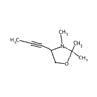 CC#CC1COC(C)(C)N1C